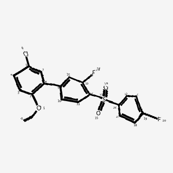 COc1ccc(Cl)cc1-c1ccc(S(=O)(=O)c2ccc(F)cc2)c(F)c1